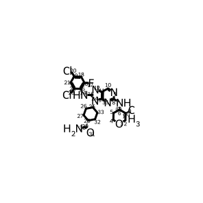 C[C@H]1COCC[C@H]1Nc1ncc2nc(Nc3c(F)cc(Cl)cc3Cl)n([C@H]3CC[C@@H](C(N)=O)CC3)c2n1